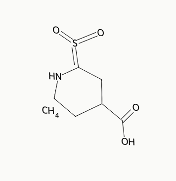 C.O=C(O)C1CCNC(=S(=O)=O)C1